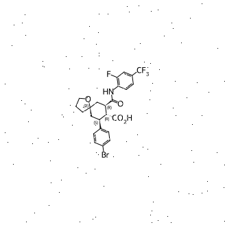 O=C(O)[C@@H]1[C@@H](c2ccc(Br)cc2)C[C@]2(CCCO2)C[C@H]1C(=O)Nc1ccc(C(F)(F)F)cc1F